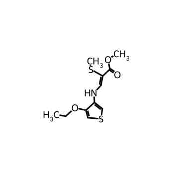 CCOc1cscc1N/C=C(\SC)C(=O)OC